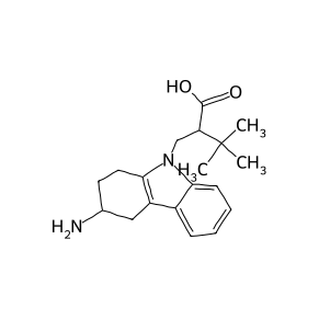 CC(C)(C)C(Cn1c2c(c3ccccc31)CC(N)CC2)C(=O)O